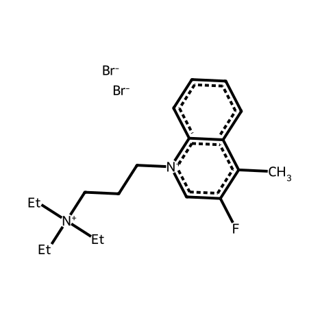 CC[N+](CC)(CC)CCC[n+]1cc(F)c(C)c2ccccc21.[Br-].[Br-]